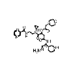 NN=C[C@@H](NC(=O)CC(NC(=O)CN1CCOCC1)C(=O)N(CCNC(=O)c1cnccn1)C1CC1)C1CCCNC1